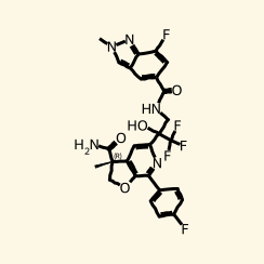 Cn1cc2cc(C(=O)NCC(O)(c3cc4c(c(-c5ccc(F)cc5)n3)OC[C@]4(C)C(N)=O)C(F)(F)F)cc(F)c2n1